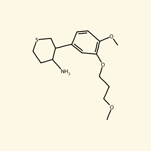 COCCCOc1cc(C2CSCCC2N)ccc1OC